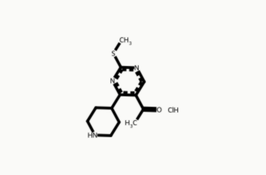 CSc1ncc(C(C)=O)c(C2CCNCC2)n1.Cl